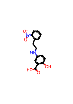 O=C(O)c1cc(NCCc2ccccc2[N+](=O)[O-])ccc1O